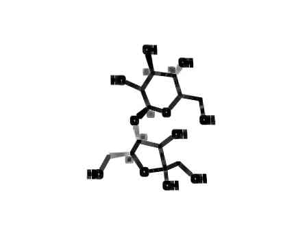 OCC1O[C@@H](O[C@@H]2C(O)C(O)(CO)O[C@@H]2CO)C(O)[C@@H](O)[C@@H]1O